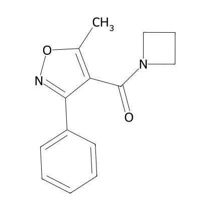 Cc1onc(-c2ccccc2)c1C(=O)N1CCC1